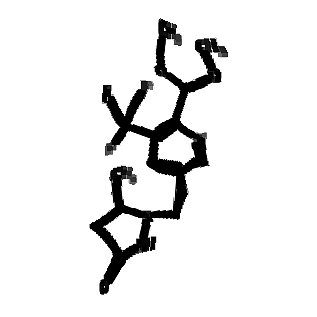 COC(OC)c1ncc(CN2NC(=O)CC2C)cc1C(F)(F)F